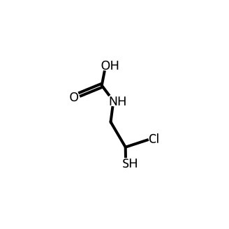 O=C(O)NCC(S)Cl